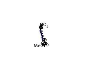 COc1oc([C@H]2C/C(=C/C(C)=C/C(C)=C/C(C)=C/c3ccc([N+](=O)[O-])cc3)CO2)c(C)c(=O)c1C